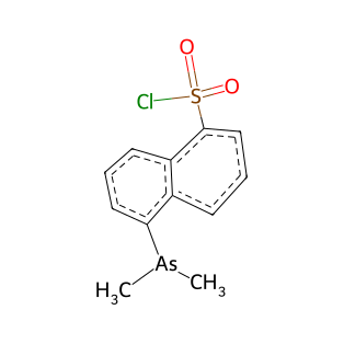 C[As](C)c1cccc2c(S(=O)(=O)Cl)cccc12